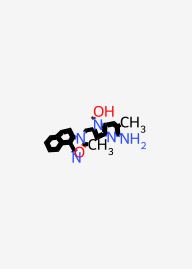 CC(=O)N(Cc1cc2nc(N)c(C)cc2n1CO)c1ccc2ccccc2c1C#N